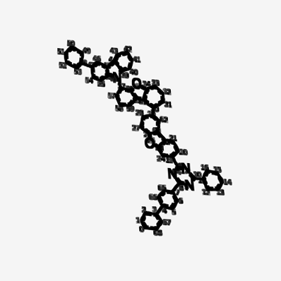 c1ccc(-c2ccc(-c3nc(-c4ccccc4)nc(-c4ccc5c(c4)oc4ccc(-c6cccc7oc8c(-n9c%10ccccc%10c%10cc(-c%11ccccc%11)ccc%109)cccc8c67)cc45)n3)cc2)cc1